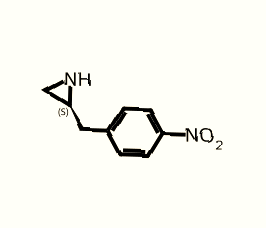 O=[N+]([O-])c1ccc(C[C@H]2CN2)cc1